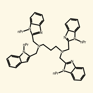 CCCn1c(CN(CCCN(Cc2nc3ccccc3n2CCC)Cc2nc3ccccc3n2CCC)Cc2nc3ccccc3n2CCC)cc2ccccc21